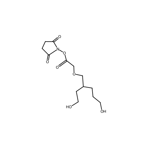 O=C(COCC(CCO)CCCO)ON1C(=O)CCC1=O